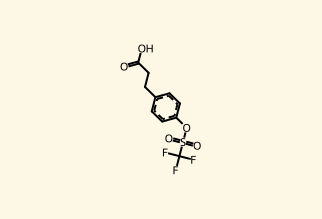 O=C(O)CCc1ccc(OS(=O)(=O)C(F)(F)F)cc1